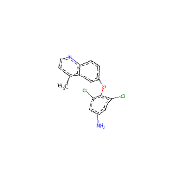 Cc1ccnc2ccc(Oc3c(Cl)cc(N)cc3Cl)cc12